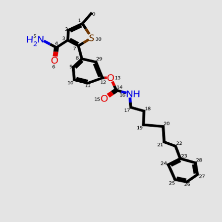 Cc1cc(C(N)=O)c(-c2cccc(OC(=O)NCCCCCCc3ccccc3)c2)s1